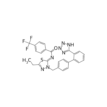 CCc1nn(Cc2ccc(-c3ccccc3-c3nnn[nH]3)cc2)c(=NC(=O)c2ccc(C(F)(F)F)cc2)s1